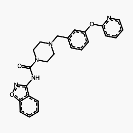 O=C(Nc1noc2ccccc12)N1CCN(Cc2cccc(Oc3ccccn3)c2)CC1